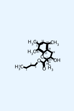 CCCCOC(=O)C1(C)Oc2c(C)c(C)cc(C)c2CC1O